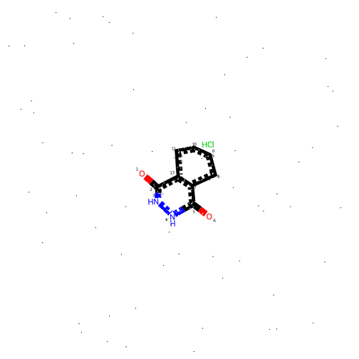 Cl.O=c1[nH][nH]c(=O)c2ccccc12